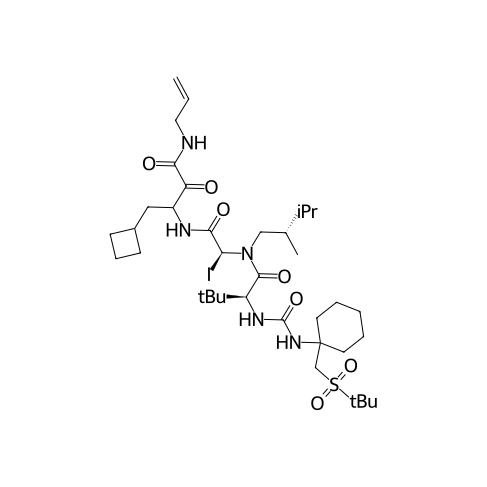 C=CCNC(=O)C(=O)C(CC1CCC1)NC(=O)[C@H](I)N(C[C@@H](C)C(C)C)C(=O)[C@@H](NC(=O)NC1(CS(=O)(=O)C(C)(C)C)CCCCC1)C(C)(C)C